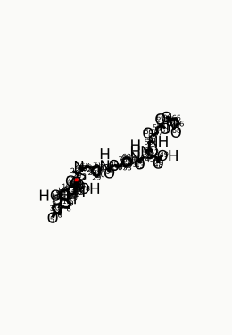 C[C@]12C=CC(=O)C=C1CC[C@@H]1[C@@H]2[C@@H](O)C[C@@]2(C)[C@H]1C[C@H]1O[C@H](c3cnc(Cc4cccc(NC(=O)OCc5ccc(NC(=O)[C@H](CCC(=O)O)NC(=O)CNC(=O)CCC(=O)ON6C(=O)CCC6=O)cc5)c4)s3)O[C@]12C(=O)CO